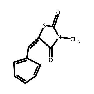 CN1C(=O)SC(=Cc2ccccc2)C1=O